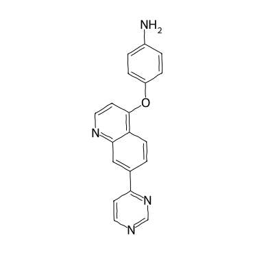 Nc1ccc(Oc2ccnc3cc(-c4ccncn4)ccc23)cc1